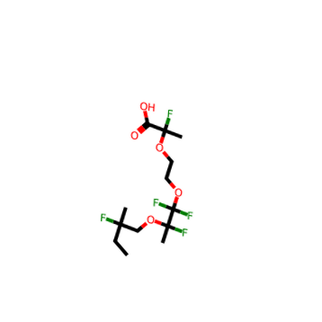 CCC(C)(F)COC(C)(F)C(F)(F)OCCOC(C)(F)C(=O)O